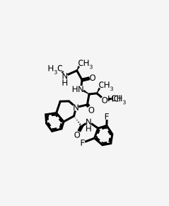 CN[C@@H](C)C(=O)N[C@H](C(=O)N1CCc2ccccc2[C@H]1C(=O)Nc1c(F)cccc1F)[C@@H](C)OC.Cl